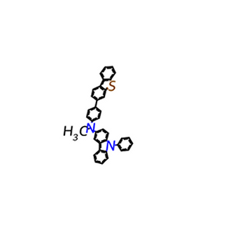 CN(c1ccc(-c2ccc3c(c2)sc2ccccc23)cc1)c1ccc2c(c1)c1ccccc1n2-c1ccccc1